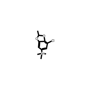 CC1Oc2c[c]([Sn]([CH3])([CH3])[CH3])cc(Cl)c2O1